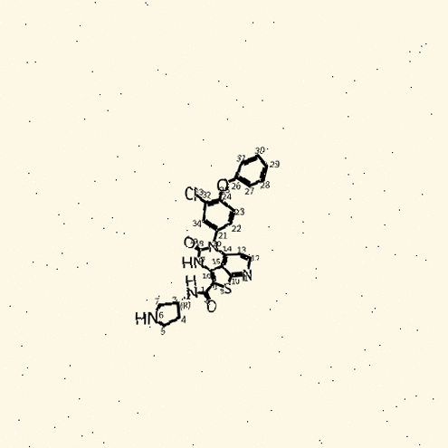 O=C(N[C@@H]1CCNC1)c1sc2nccc3c2c1NC(=O)N3c1ccc(Oc2ccccc2)c(Cl)c1